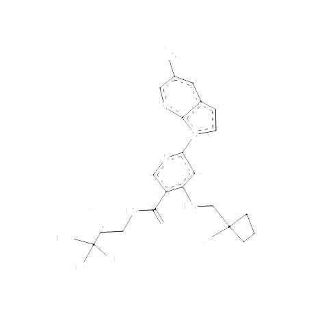 CC(C)(O)[C@H](F)CNC(=O)c1cnc(-n2ccc3cc(C#N)cnc32)cc1NCC1(F)CCC1